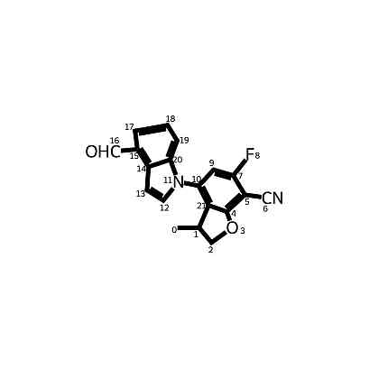 CC1COc2c(C#N)c(F)cc(-n3ccc4c(C=O)cccc43)c21